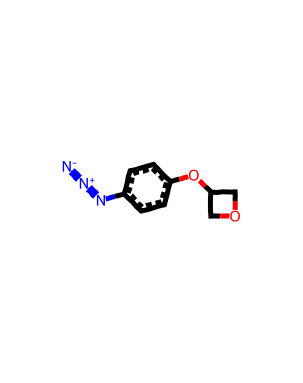 [N-]=[N+]=Nc1ccc(OC2COC2)cc1